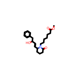 COC(=O)CCCCCCN1C(=O)CCCC1C=CC(O)Cc1ccccc1